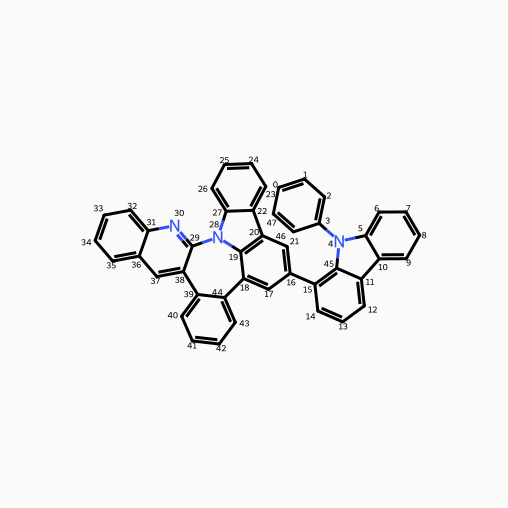 c1ccc(-n2c3ccccc3c3cccc(-c4cc5c6c(c4)c4ccccc4n6-c4nc6ccccc6cc4-c4ccccc4-5)c32)cc1